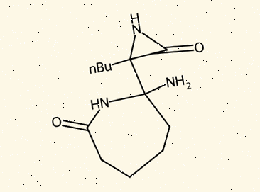 CCCCC1(C2(N)CCCCC(=O)N2)NC1=O